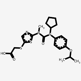 CC(C)Oc1ccc(N(C(=O)N(C)c2ncc(SCC(=O)O)s2)C2CCCC2)cc1